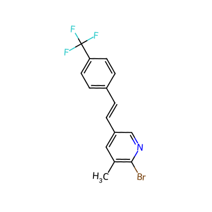 Cc1cc(/C=C/c2ccc(C(F)(F)F)cc2)cnc1Br